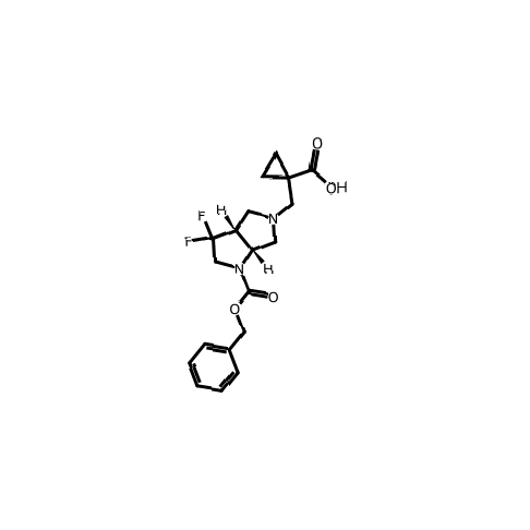 O=C(OCc1ccccc1)N1CC(F)(F)[C@@H]2CN(CC3(C(=O)O)CC3)C[C@@H]21